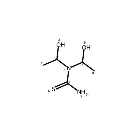 CC(O)N(C(N)=S)C(C)O